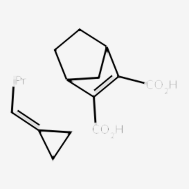 CC(C)C=C1CC1.O=C(O)C1=C(C(=O)O)C2CCC1C2